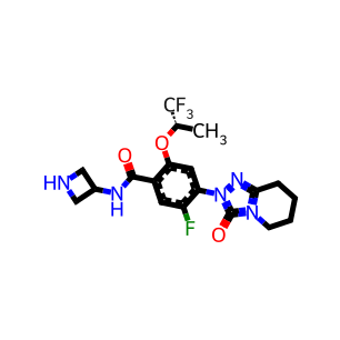 C[C@H](Oc1cc(-n2nc3n(c2=O)CCCC3)c(F)cc1C(=O)NC1CNC1)C(F)(F)F